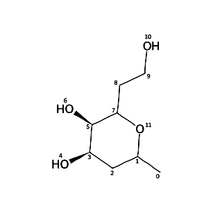 CC1C[C@@H](O)[C@@H](O)C(CCO)O1